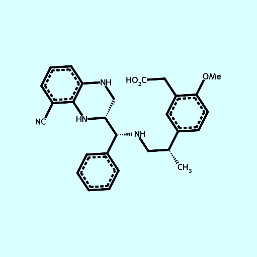 COc1ccc([C@H](C)CN[C@H](c2ccccc2)[C@H]2CNc3cccc(C#N)c3N2)cc1CC(=O)O